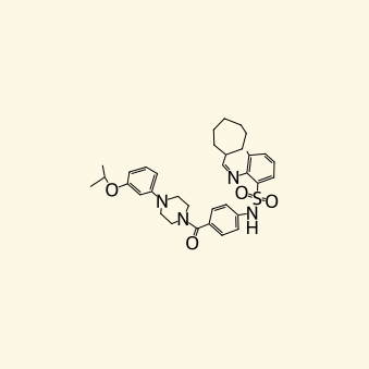 Cc1cccc(S(=O)(=O)Nc2ccc(C(=O)N3CCN(c4cccc(OC(C)C)c4)CC3)cc2)c1/N=C\C1CCCCCC1